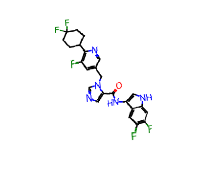 O=C(Nc1c[nH]c2cc(F)c(F)cc12)c1cncn1Cc1cnc(C2CCC(F)(F)CC2)c(F)c1